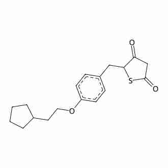 O=C1CC(=O)C(Cc2ccc(OCCC3CCCC3)cc2)S1